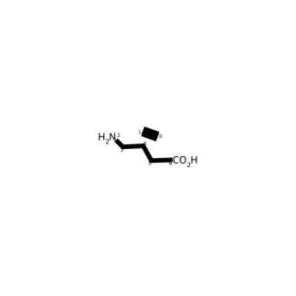 C#C.NCCCC(=O)O